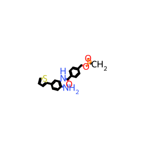 C=P(=O)OCc1ccc(C(=O)Nc2cc(-c3cccs3)ccc2N)cc1